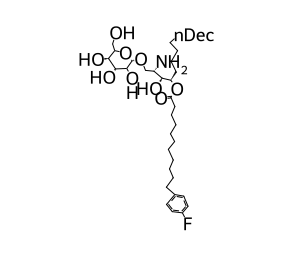 CCCCCCCCCCCCCC[C@@H](OC(=O)CCCCCCCCCCc1ccc(F)cc1)[C@@H](O)[C@@H](N)CO[C@H]1OC(CO)[C@H](O)[C@H](O)C1O